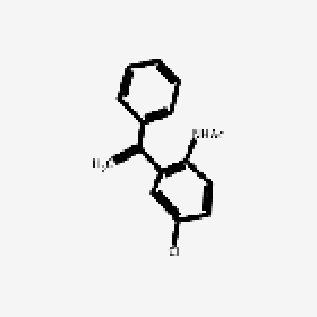 C=C(c1ccccc1)c1cc(Cl)ccc1NC(C)=O